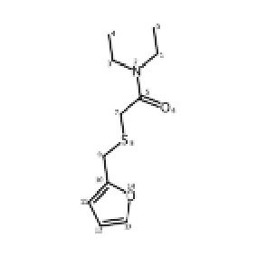 CCN(CC)C(=O)CSCc1ccco1